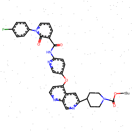 CC(C)(C)OC(=O)N1CCC(c2cc3c(Oc4ccc(NC(=O)c5cccn(-c6ccc(F)cc6)c5=O)nc4)ccnc3cn2)CC1